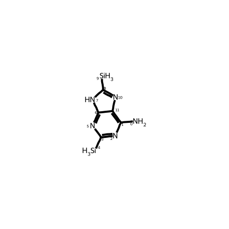 Nc1nc([SiH3])nc2[nH]c([SiH3])nc12